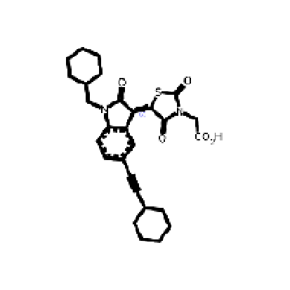 O=C(O)CN1C(=O)S/C(=C2\C(=O)N(CC3CCCCC3)c3ccc(C#CC4CCCCC4)cc32)C1=O